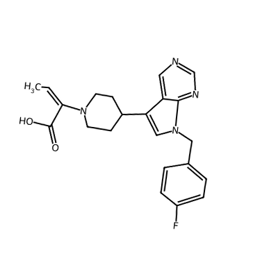 CC=C(C(=O)O)N1CCC(c2cn(Cc3ccc(F)cc3)c3ncncc23)CC1